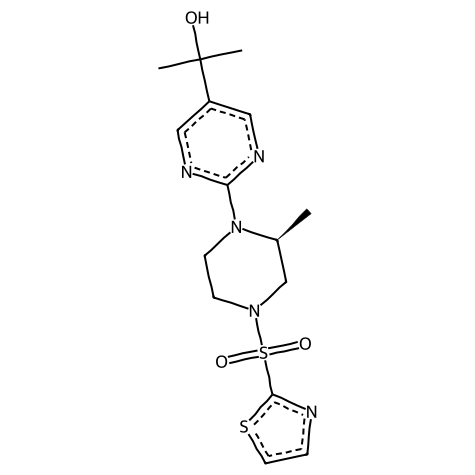 C[C@H]1CN(S(=O)(=O)c2nccs2)CCN1c1ncc(C(C)(C)O)cn1